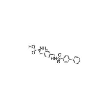 N[C@@H](Cc1ccc(CNS(=O)(=O)c2ccc(-c3ccccc3)cc2)cc1)C(=O)O